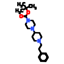 CC(C)(C)OC(=O)N1CCN(C2CCN(CCc3ccccc3)CC2)CC1